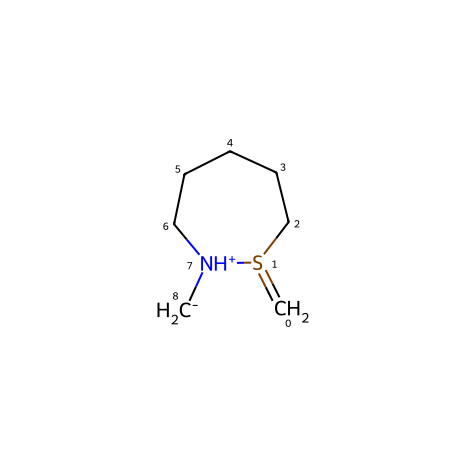 C=S1CCCCC[NH+]1[CH2-]